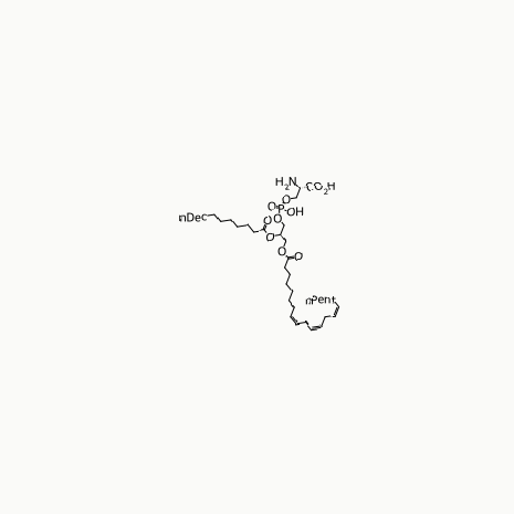 CCCCC/C=C\C/C=C\C/C=C\CCCCCCC(=O)OC[C@H](COP(=O)(O)OC[C@H](N)C(=O)O)OC(=O)CCCCCCCCCCCCCCCC